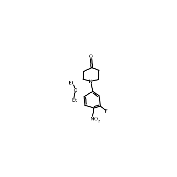 CCOCC.O=C1CCN(c2ccc([N+](=O)[O-])c(F)c2)CC1